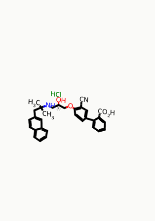 CC(C)(Cc1ccc2ccccc2c1)NC[C@@H](O)COc1ccc(-c2ccccc2C(=O)O)cc1C#N.Cl